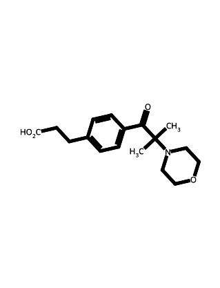 CC(C)(C(=O)c1ccc(CCC(=O)O)cc1)N1CCOCC1